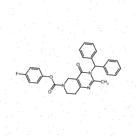 Cc1nc2c(c(=O)n1C(c1ccccc1)c1ccccc1)CN(C(=O)Oc1ccc(F)cc1)CC2